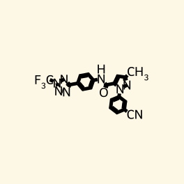 Cc1cc(C(=O)Nc2ccc(-c3nnn(C(F)(F)F)n3)cc2)n(-c2cccc(C#N)c2)n1